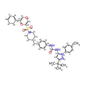 Cc1ccc(-n2nc(C(C)(C)C)cc2NC(=O)Nc2ccc(CC3CCN(S(=O)(=O)C4=COC=C(C5=CC=CCC5)O4)CC3)cc2)cc1